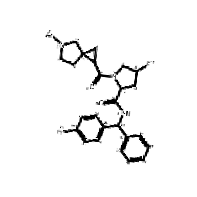 CC(=O)N1CCC2(CC2C(=O)N2CC(F)CC2C(=O)NC(c2ccccc2)c2ccc(C(C)C)cc2)C1